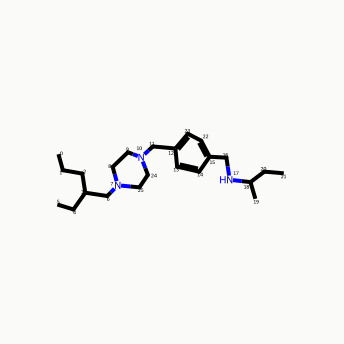 CCCC(CC)CN1CCN(Cc2ccc(CNC(C)CC)cc2)CC1